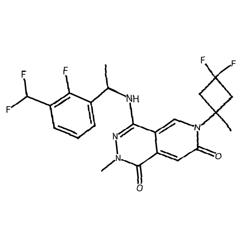 CC(Nc1nn(C)c(=O)c2cc(=O)n(C3(C)CC(F)(F)C3)cc12)c1cccc(C(F)F)c1F